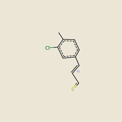 Cc1ccc(/C=C/C=S)cc1Cl